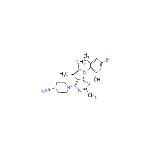 Cc1nc(N2CCC(C#N)CC2)c2c(C)c(C)n(-c3c(C)cc(Br)cc3C)c2n1